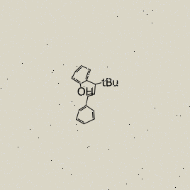 CC(C)(C)C(C=Cc1ccccc1)c1ccccc1O